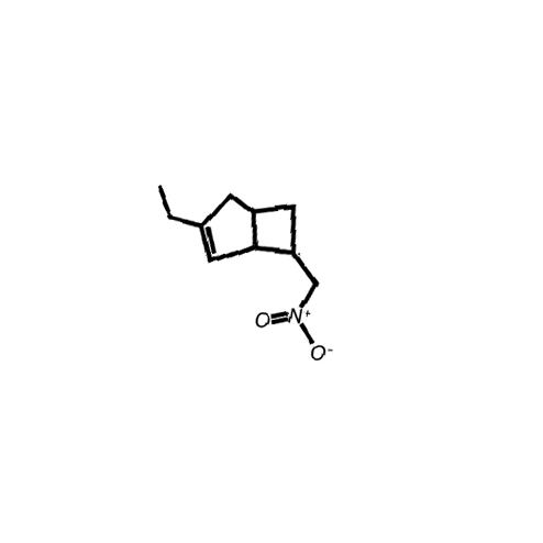 CCC1=CC2[C](C[N+](=O)[O-])CC2C1